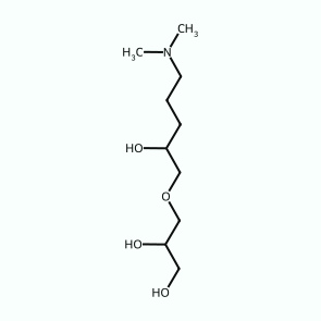 CN(C)CCCC(O)COCC(O)CO